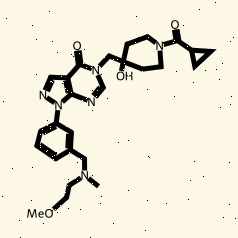 COCCN(C)Cc1cccc(-n2ncc3c(=O)n(CC4(O)CCN(C(=O)C5CC5)CC4)cnc32)c1